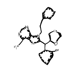 Nc1ncnc2c1nc(C(C1=COCO1)c1ccccc1Br)n2CCc1ccccc1